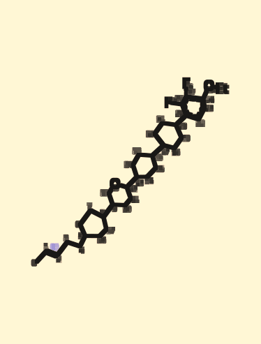 C/C=C/CCC1CCC(C2CCC(C3CCC(C4CCC(c5ccc(OCC)c(F)c5F)CC4)CC3)OC2)CC1